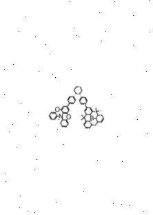 CC1(C)C2=CC=CC3CC4C=CCC5C4B(C23)C2C(=CC(c3ccc([C@H]4CCCC[C@H]4c4ccc(-c6cc7c8c(c6)Oc6ccccc6N8C6CC=CC=C6O7)cc4)cc3)=CC21)C5(C)C